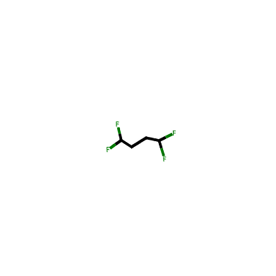 FC(F)[CH]CC(F)F